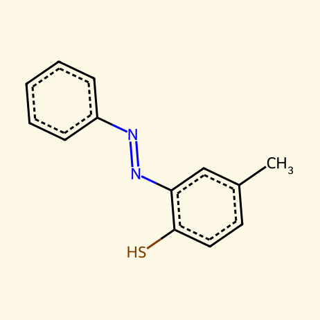 Cc1ccc(S)c(N=Nc2ccccc2)c1